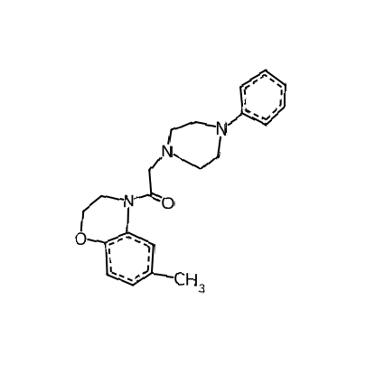 Cc1ccc2c(c1)N(C(=O)CN1CCN(c3ccccc3)CC1)CCO2